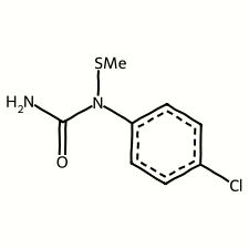 CSN(C(N)=O)c1ccc(Cl)cc1